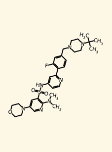 CN(C)c1ncc(N2CCOCC2)cc1S(=O)(=O)Nc1ccnc(-c2ccc(CN3CCN(C(C)(C)C)CC3)cc2F)c1